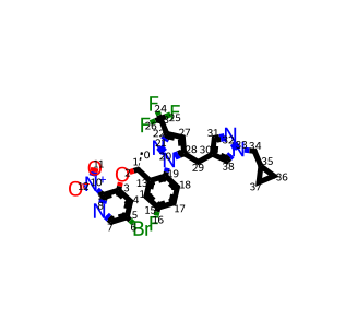 C[C@@H](Oc1cc(Br)cnc1[N+](=O)[O-])c1cc(F)ccc1-n1nc(C(F)(F)F)cc1Cc1cnn(CC2CC2)c1